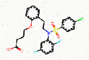 O=C(O)CCCOc1ccccc1CCN(c1cc(F)ccc1F)S(=O)(=O)c1ccc(Cl)cc1